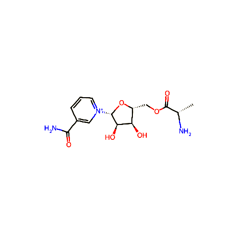 C[C@H](N)C(=O)OC[C@H]1O[C@@H]([n+]2cccc(C(N)=O)c2)[C@H](O)[C@@H]1O